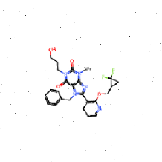 CC(C)n1c(=O)n(CCCO)c(=O)c2c1nc(C1=C(OCC3CC3(F)F)N=CCC1)n2CC1=C=C=CC=C1